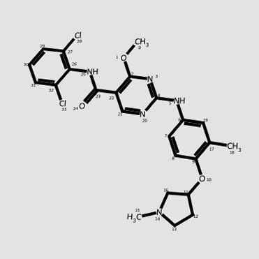 COc1nc(Nc2ccc(OC3CCN(C)C3)c(C)c2)ncc1C(=O)Nc1c(Cl)cccc1Cl